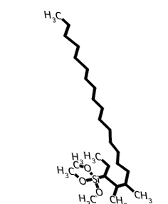 CCCCCCCCCCCCCCCCC(C)[C](C)C(CC)[Si](OC)(OC)OC